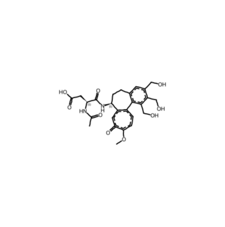 COc1ccc2c(cc1=O)[C@@H](NC(=O)[C@H](CC(=O)O)NC(C)=O)CCc1cc(CO)c(CO)c(CO)c1-2